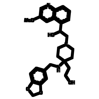 COc1cnc2cccc(C(O)CN3CCC(CCO)(NCc4ccc5c(c4)OCO5)CC3)c2c1